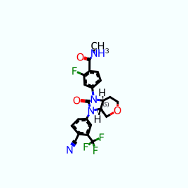 CNC(=O)c1ccc(N2C(=O)N(c3ccc(C#N)c(C(F)(F)F)c3)[C@H]3COCC[C@@H]32)cc1F